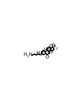 C[C@]12CC[C@H](CCCCCN)CC1C(=O)C[C@@H]1[C@@H]2CC[C@]2(C)C(=O)CC[C@@H]12